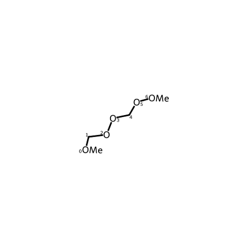 COCOOCOOC